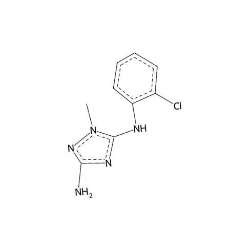 Cn1nc(N)nc1Nc1ccccc1Cl